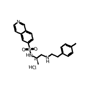 Cc1ccc(CCNC[C@@H](C)NS(=O)(=O)c2ccc3cnccc3c2)cc1.Cl